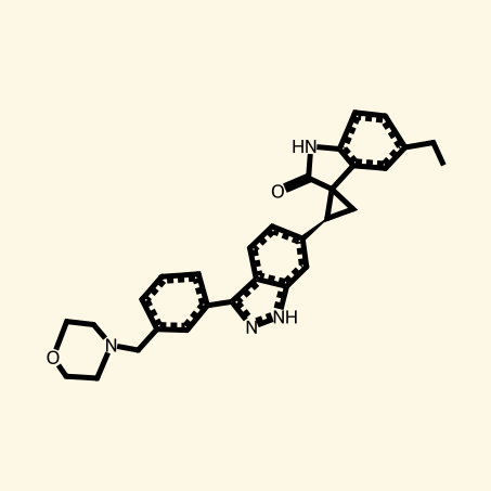 CCc1ccc2c(c1)C1(C[C@H]1c1ccc3c(-c4cccc(CN5CCOCC5)c4)n[nH]c3c1)C(=O)N2